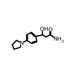 NC(=O)CC(O)c1ccc(N2CCCC2)cc1